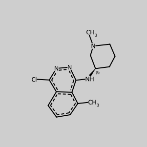 Cc1cccc2c(Cl)nnc(N[C@@H]3CCCN(C)C3)c12